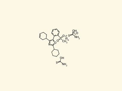 C.CS(=O)(=O)c1ccccc1-c1oc(C2CCCCC2)nc1C1CC=CCC1.NC(O)=S.NC(O)=S.O